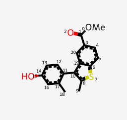 COC(=O)c1ccc2sc(C)c(-c3ccc(O)cc3C)c2c1